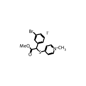 COC(=O)C(Sc1cc[n+](C)cc1)c1cccc(Br)c1.[I-]